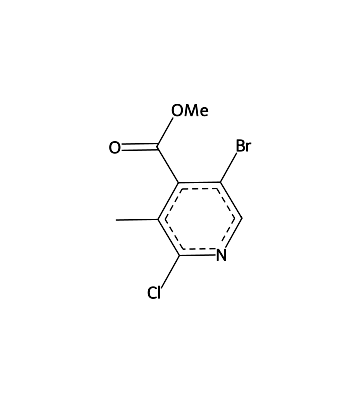 COC(=O)c1c(Br)cnc(Cl)c1C